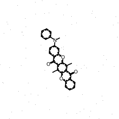 Cc1c2oc3cc(N(C)c4ccccc4)ccc3c(=O)c2c(C)c2oc3ccccc3c(=O)c12